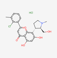 Cc1cccc(-c2cc(=O)c3c(O)cc(O)c([C@@H]4CCN(C)[C@H]4CO)c3o2)c1Cl.Cl